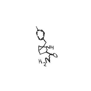 Cc1ccc(CC23CC2CC(C(N)=O)N3)cc1